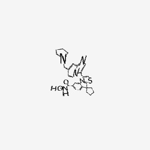 O=C(NO)c1ccc(C2(c3nc(-c4cnc5cc(CN6CCCC6)ccn45)cs3)CCCC2)cc1